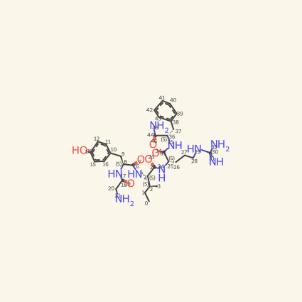 CC[C@H](C)[C@H](NC(=O)[C@H](Cc1ccc(O)cc1)NC(=O)CN)C(=O)N[C@@H](CCCNC(=N)N)C(=O)N[C@@H](Cc1ccccc1)C(N)=O